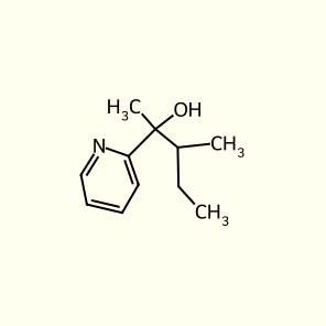 CCC(C)C(C)(O)c1ccccn1